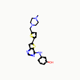 CN1CCN(Cc2ccc(-c3cc4ncnc(Nc5cccc(O)c5)c4s3)s2)CC1